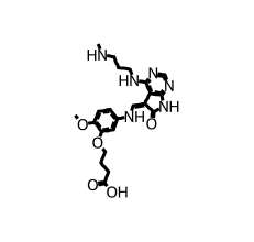 CNCCCNc1ncnc2c1/C(=C/Nc1ccc(OC)c(OCCCC(=O)O)c1)C(=O)N2